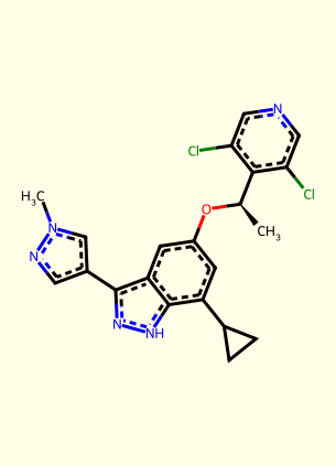 C[C@@H](Oc1cc(C2CC2)c2[nH]nc(-c3cnn(C)c3)c2c1)c1c(Cl)cncc1Cl